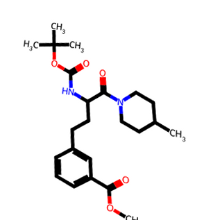 COC(=O)c1cccc(CCC(NC(=O)OC(C)(C)C)C(=O)N2CCC(C)CC2)c1